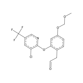 COCOc1ccc(CC=O)c(Oc2ncc(C(F)(F)F)cc2Cl)c1